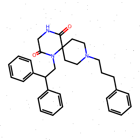 O=C1CNC(=O)C2(CCN(CCCc3ccccc3)CC2)N1CC(c1ccccc1)c1ccccc1